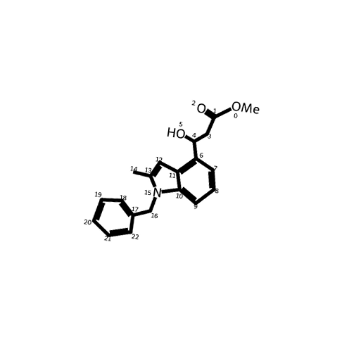 COC(=O)CC(O)c1cccc2c1cc(C)n2Cc1ccccc1